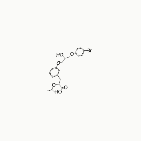 CC(C)OC(Cc1cccc(OCC(O)COc2ccc(Br)cc2)c1)C(=O)O